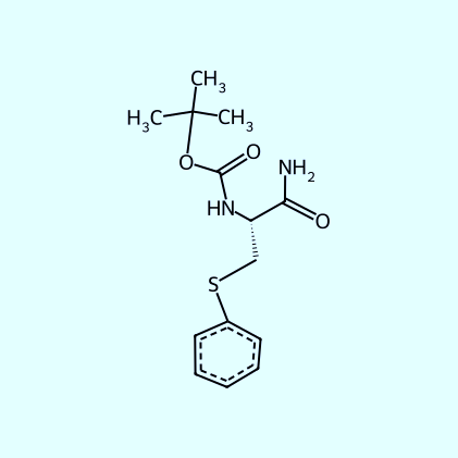 CC(C)(C)OC(=O)N[C@@H](CSc1ccccc1)C(N)=O